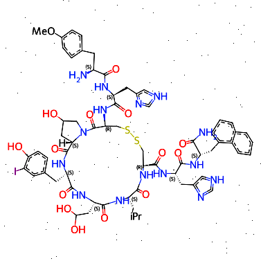 COc1ccc(C[C@H](N)C(=O)N[C@@H](Cc2c[nH]cn2)C(=O)N[C@H]2CSSC[C@@H](C(=O)N[C@@H](Cc3c[nH]cn3)C(=O)N[C@@H](Cc3cccc4ccccc34)C(N)=O)NC(=O)[C@H](CC(C)C)NC(=O)[C@H](CC(O)O)NC(=O)[C@H](Cc3ccc(O)c(I)c3)NC(=O)[C@@H]3CC(O)CN3C2=O)cc1